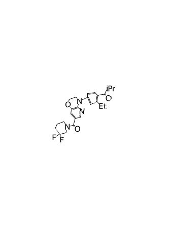 CCc1cc(N2CCOc3cc(C(=O)N4CCCC(F)(F)C4)cnc32)ccc1C(=O)C(C)C